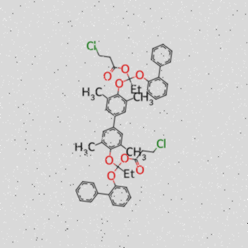 CCC(OC(=O)CCCl)(Oc1ccccc1-c1ccccc1)Oc1c(C)cc(-c2cc(C)c(OC(CC)(OC(=O)CCCl)Oc3ccccc3-c3ccccc3)c(C)c2)cc1C